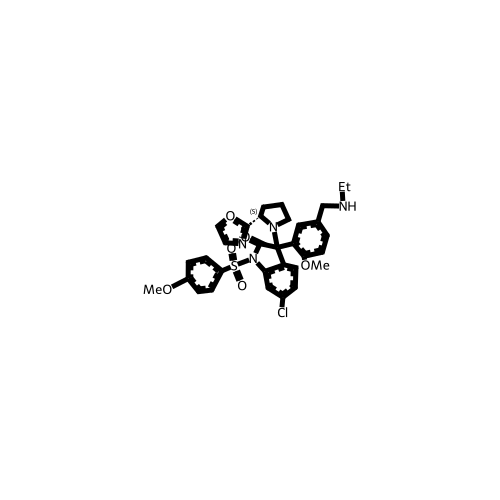 CCNCc1ccc(OC)c(C2(N3CCC[C@H]3c3ncco3)C(=O)N(S(=O)(=O)c3ccc(OC)cc3)c3cc(Cl)ccc32)c1